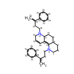 C=C(CCN1CCCC2CCC3C(=C21)C=CCN3CCC(=C)c1ccccc1)c1ccccc1